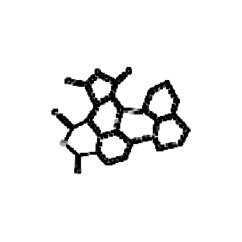 O=C1OC(=O)c2c3c1ccc1c4cccc5cccc(c54)c(c4c(=O)oc(=O)c24)c31